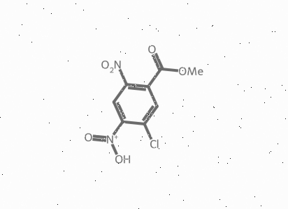 COC(=O)c1cc(Cl)c([N+](=O)O)cc1[N+](=O)[O-]